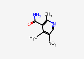 Cc1ncc([N+](=O)[O-])c(C)c1C(N)=O